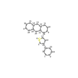 c1ccc(-c2csc(-c3cccc4cc5ccccc5cc34)c2)cc1